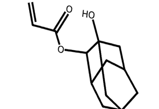 C=CC(=O)OC1C2CC3CC(C2)CC1(O)C3